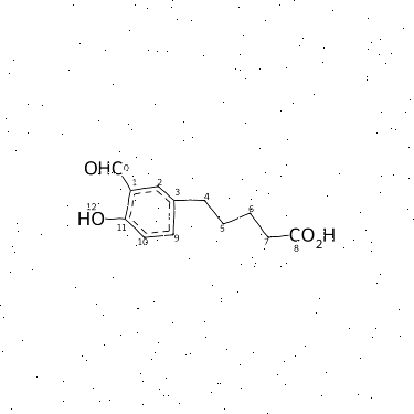 O=Cc1cc(CCCCC(=O)O)ccc1O